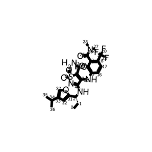 CC[C@@H](NC1=NS(=O)(=O)C(C(N)=O)=C1Nc1ccc(C(F)(F)F)c(C(=O)N(C)C)c1O)c1cc(C(C)C)co1